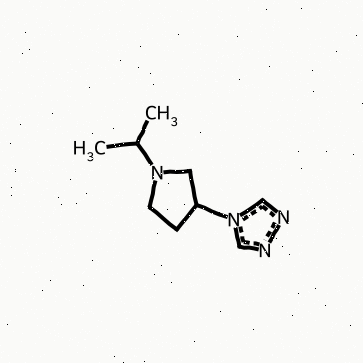 CC(C)N1CCC(n2cnnc2)C1